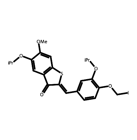 COc1cc2c(cc1OC(C)C)C(=O)C(=Cc1ccc(OCI)c(OC(C)C)c1)S2